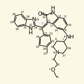 COCCN1CCC(Nc2ccc3c(c2)/C(=C(\c2ccc(C)cc2)c2nc4ccccc4[nH]2)C(=O)N3)CC1